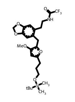 COc1cc(CCCO[Si](C)(C)C(C)(C)C)oc1Cc1cc2c(cc1CCNC(=O)C(F)(F)F)OCO2